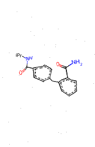 CC(C)NC(=O)c1ccc(-c2ccccc2C(N)=O)cc1